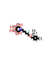 CCc1ccc(COCC(F)CCCCN2C[C@H](O)[C@@H](O)[C@H](O)[C@@H](O)C2)c(C)c1